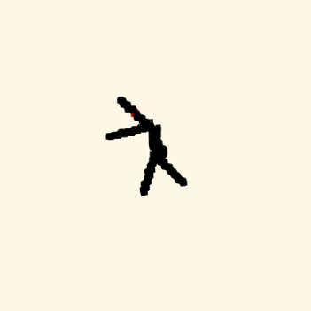 CCCCCCCCCCCCN(CCCCCCCCCCCC)CCN(C)CCN1CCN(C(=O)CN(CCCCCCCCCCCC)CCCCCCCCCCCC)CC1